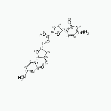 Nc1ccn([C@@H]2O[C@H]([CH]OC(O)[C@@H]3CC[C@H](n4ccc(N)nc4=O)O3)C[C@H]2F)c(=O)n1